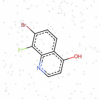 Oc1ccnc2c(F)c(Br)ccc12